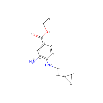 CCOC(=O)c1ccc(NCCC2CC2)c(N)c1